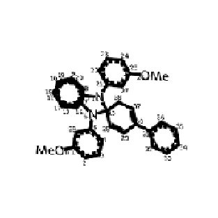 COc1cccc(N(c2ccccc2)C2(N(c3ccccc3)c3cccc(OC)c3)C=CC(c3ccccc3)=CC2)c1